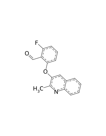 Cc1nc2ccccc2cc1Oc1cccc(F)c1C=O